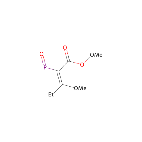 CCC(OC)=C(P=O)C(=O)OOC